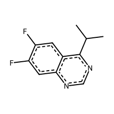 CC(C)c1ncnc2cc(F)c(F)cc12